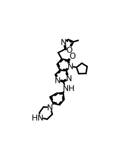 Cc1cnc(Cc2cc3cnc(Nc4ccc(N5CCNCC5)cc4)nc3n(C3CCCC3)c2=O)o1